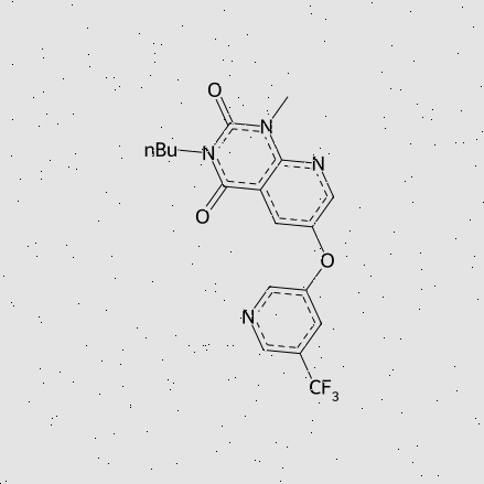 CCCCn1c(=O)c2cc(Oc3cncc(C(F)(F)F)c3)cnc2n(C)c1=O